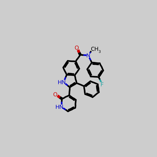 CN(C(=O)c1ccc2[nH]c(-c3ccc[nH]c3=O)c(-c3ccccc3)c2c1)c1ccc(F)cc1